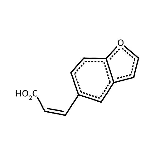 O=C(O)/C=C\c1ccc2occc2c1